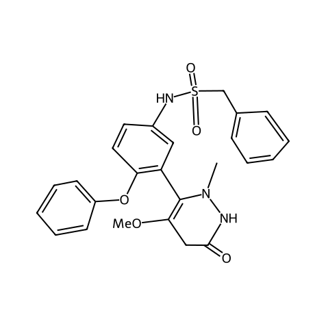 COC1=C(c2cc(NS(=O)(=O)Cc3ccccc3)ccc2Oc2ccccc2)N(C)NC(=O)C1